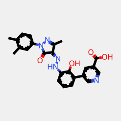 CC1=NN(c2ccc(C)c(C)c2)C(=O)C1=NNc1cccc(-c2cncc(C(=O)O)c2)c1O